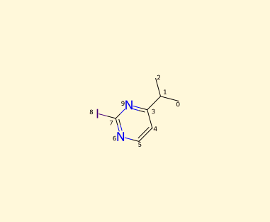 CC(C)c1ccnc(I)n1